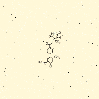 COc1cc(C2CCN(C(=O)CCC3(C)NC(=O)NC3=O)CC2)c(C)cc1Cl